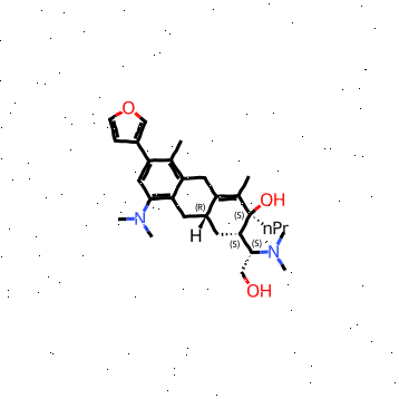 CCC[C@@]1(O)C(C)=C2Cc3c(C)c(-c4ccoc4)cc(N(C)C)c3C[C@H]2C[C@H]1[C@@H](CO)N(C)C